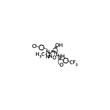 Cc1nnc([C@H]2C[C@H](O)CN2C(=O)N[C@H]2CCOc3cc(C(F)(F)F)ccc32)n1Cc1ccc(Cl)cc1